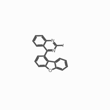 Ic1nc(-c2cccc3oc4ccccc4c23)c2ccccc2n1